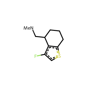 CNCC1CCCc2scc(F)c21